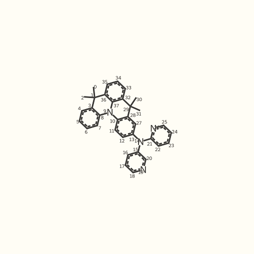 CC1(C)c2ccccc2N2c3ccc(N(c4cccnc4)c4ccccn4)cc3C(C)(C)c3cccc1c32